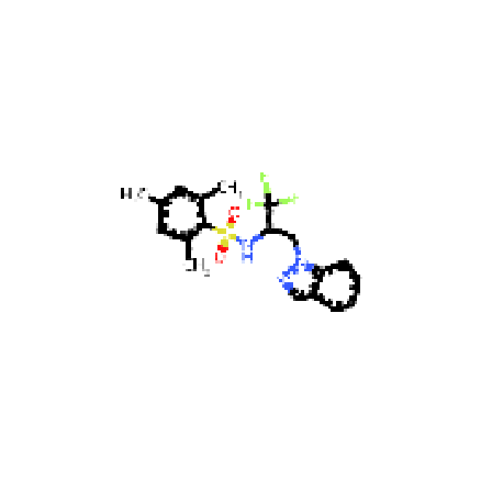 Cc1cc(C)c(S(=O)(=O)NC(Cn2ncc3ccccc32)C(F)(F)F)c(C)c1